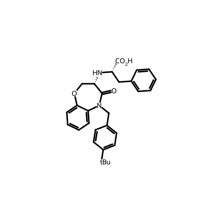 CC(C)(C)c1ccc(CN2C(=O)[C@@H](N[C@@H](Cc3ccccc3)C(=O)O)COc3ccccc32)cc1